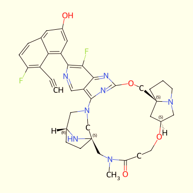 C#Cc1c(F)ccc2cc(O)cc(-c3ncc4c5nc(nc4c3F)OC[C@@]34CCCN3C[C@H](C4)OCCC(=O)N(C)C[C@]34CC[C@H](CN5C3)N4)c12